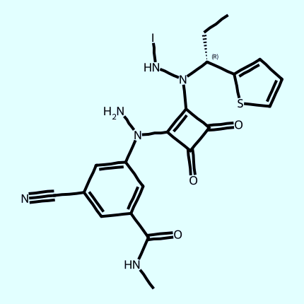 CC[C@H](c1cccs1)N(NI)c1c(N(N)c2cc(C#N)cc(C(=O)NC)c2)c(=O)c1=O